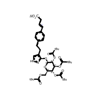 CC(C)(C)C(=O)OC[C@H]1O[C@@H](Oc2n[nH]cc2CCc2ccc(/C=C/CC(=O)O)cc2)[C@H](OC(=O)C(C)(C)C)[C@@H](OC(=O)C(C)(C)C)[C@@H]1OC(=O)C(C)(C)C